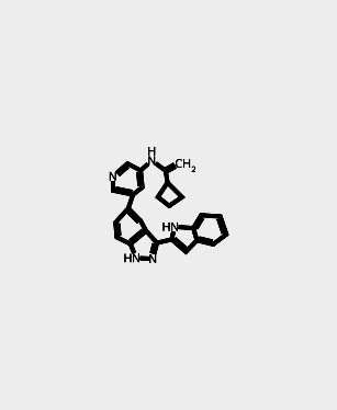 C=C(Nc1cncc(-c2ccc3[nH]nc(-c4cc5ccccc5[nH]4)c3c2)c1)C1CCC1